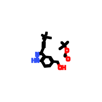 CC(C)(C)OC=O.C[Si](C)(C)C#Cc1n[nH]c2ccc(CO)cc12